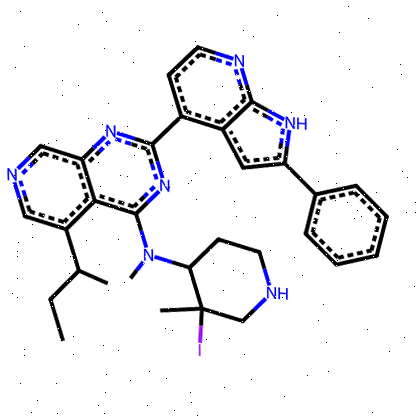 CCC(C)c1cncc2nc(-c3ccnc4[nH]c(-c5ccccc5)cc34)nc(N(C)C3CCNCC3(C)I)c12